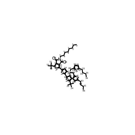 CCCCCCCCN1C(=O)c2c(-c3cc4c(s3)-c3sc(C(C)(C)C)cc3[Si]4(Cc3ccc(CCCC)s3)Cc3ccc(CCCC)s3)sc(C(C)(C)C)c2C1=O